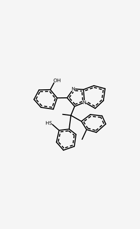 Cc1ccccc1C(C)(c1ccccc1S)c1c(-c2ccccc2O)nc2ccccn12